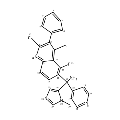 Cc1c(-c2ccccc2)c(Cl)nc2ccc(C(N)(c3ccncc3)c3cncn3C)c(F)c12